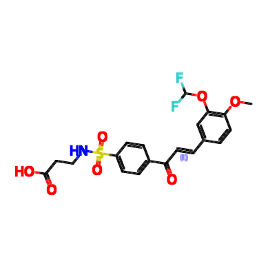 COc1ccc(/C=C/C(=O)c2ccc(S(=O)(=O)NCCC(=O)O)cc2)cc1OC(F)F